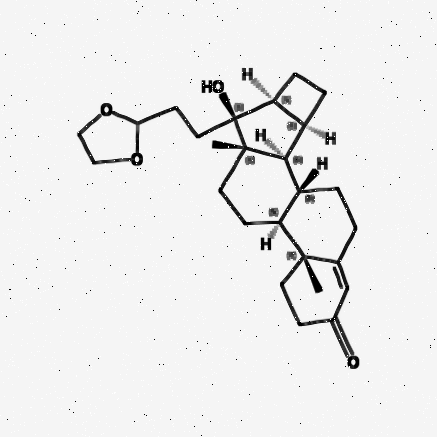 C[C@]12CCC(=O)C=C1CC[C@H]1[C@@H]3[C@@H]4CC[C@@H]4[C@@](O)(CCC4OCCO4)[C@@]3(C)CC[C@@H]12